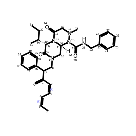 C=C(/C=C\C=C/C)C(CN1C[C@H]2N(C(=O)CN(C)N2C(=O)NCc2ccccc2)[C@@H](C(C)CC)C1=O)c1ccccc1